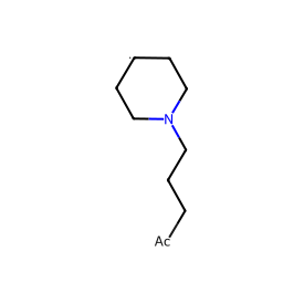 CC(=O)CCCN1CC[CH]CC1